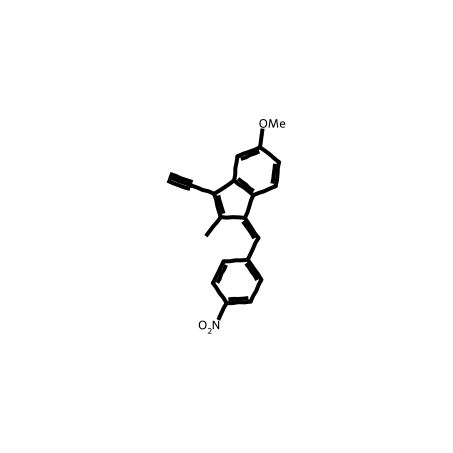 C#CC1=C(C)C(=Cc2ccc([N+](=O)[O-])cc2)c2ccc(OC)cc21